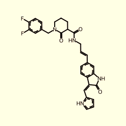 O=C1Nc2cc(/C=C/CNC(=O)C3CCCN(Cc4ccc(F)c(F)c4)C3=O)ccc2/C1=C/c1ccc[nH]1